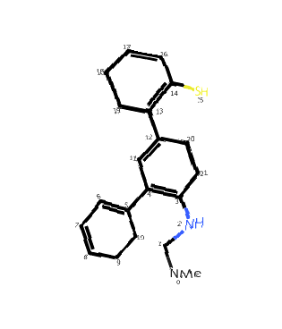 CNCNC1=C(C2=CC=CCC2)C=C(C2=C(S)C=CCC2)CC1